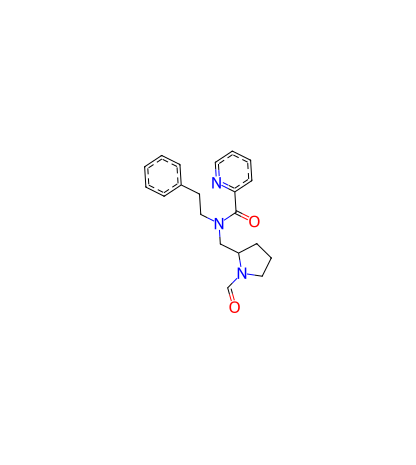 O=CN1CCCC1CN(CCc1ccccc1)C(=O)c1ccccn1